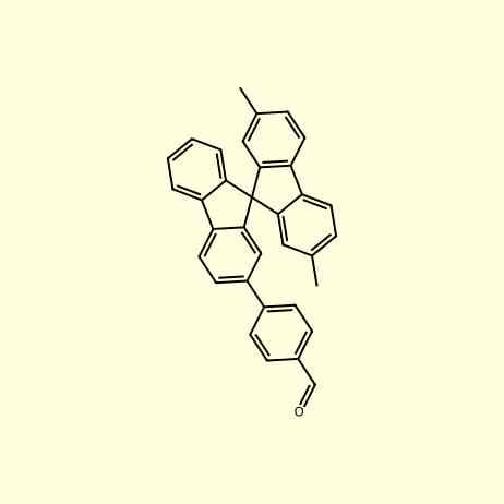 Cc1ccc2c(c1)C1(c3ccccc3-c3ccc(-c4ccc(C=O)cc4)cc31)c1cc(C)ccc1-2